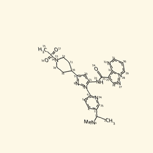 CNC(C)c1ccc(-n2nc(C3CCN(S(C)(=O)=O)CC3)cc2NC(=O)c2cnn3cccnc23)nc1